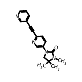 CN1C(=O)N(c2ccc(C#Cc3cccnc3)nc2)CC1(C)C